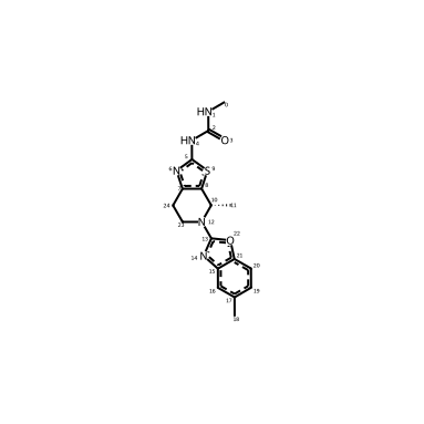 CNC(=O)Nc1nc2c(s1)[C@H](C)N(c1nc3cc(C)ccc3o1)CC2